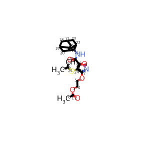 CC(=O)OCCOc1noc(C(=O)NC2C3CC4CC(C3)CC2C4)c1SC(C)C